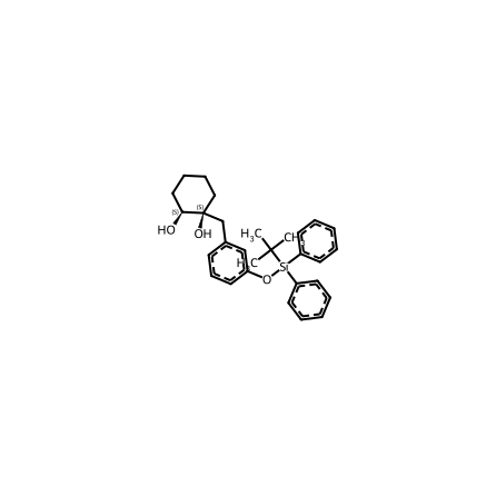 CC(C)(C)[Si](Oc1cccc(C[C@@]2(O)CCCC[C@@H]2O)c1)(c1ccccc1)c1ccccc1